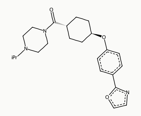 CC(C)N1CCN(C(=O)[C@H]2CC[C@H](Oc3ccc(-c4ncco4)cc3)CC2)CC1